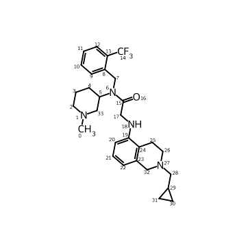 CN1CCCC(N(Cc2ccccc2C(F)(F)F)C(=O)CNc2cccc3c2CCN(CC2CC2)C3)C1